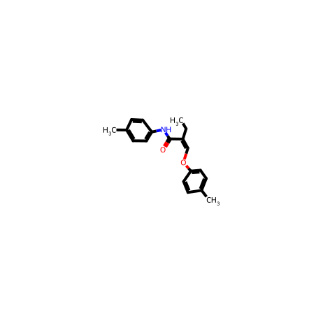 CCC(=COc1ccc(C)cc1)C(=O)Nc1ccc(C)cc1